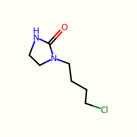 O=C1NCCN1CCCCCl